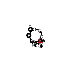 CCOC(=O)[C@@H](OC(C)(C)C)c1c(C)nc2cc3nn2c1-c1ccc(C)c(c1)OCCOCCOc1cc(F)ccc1-c1cccc-3c1